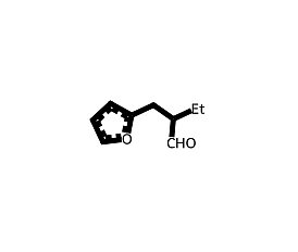 CCC(C=O)Cc1ccco1